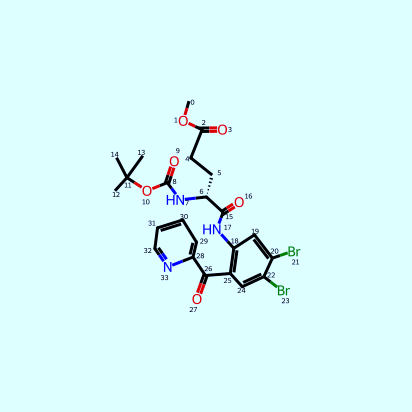 COC(=O)CC[C@@H](NC(=O)OC(C)(C)C)C(=O)Nc1cc(Br)c(Br)cc1C(=O)c1ccccn1